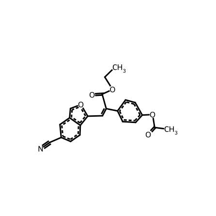 CCOC(=O)C(=Cc1occ2cc(C#N)ccc12)c1ccc(OC(C)=O)cc1